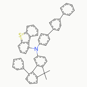 CC1(C)c2ccc(N(c3ccc(-c4ccc(-c5ccccc5)cc4)cc3)c3cccc4sc5ccccc5c34)cc2-c2c(-c3ccccc3)cccc21